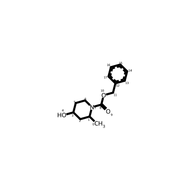 CC1CC(O)CCN1C(=O)OCc1ccccc1